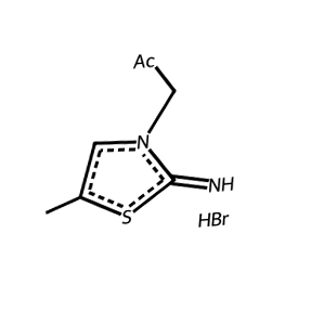 Br.CC(=O)Cn1cc(C)sc1=N